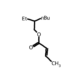 C/C=C/C(=O)OCC(CC)CCCC